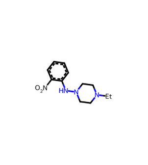 CCN1CCN(Nc2ccccc2[N+](=O)[O-])CC1